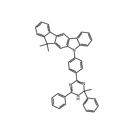 CC1(c2ccccc2)N=C(c2ccc(-n3c4ccccc4c4cc5c(cc43)C(C)(C)c3ccccc3-5)cc2)N=C(c2ccccc2)N1